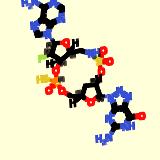 Nc1nc2c(nnn2[C@@H]2O[C@@H]3CO[P@@](=O)(S)O[C@H]4[C@@H](F)[C@H](n5cnc6c(N)ncnc65)O[C@@H]4CNS(=O)(=O)O[C@@H]2C3)c(=O)[nH]1